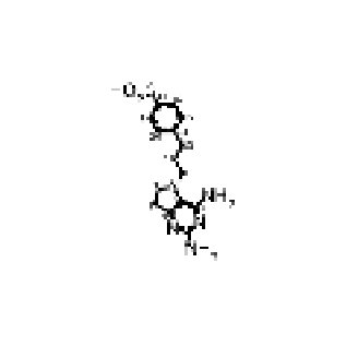 Nc1nc(N)c2c(n1)CCN2CCCc1ccc(C(=O)O)cc1